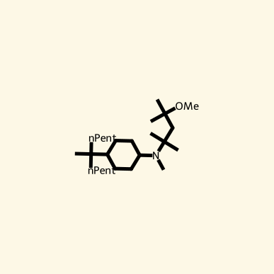 CCCCCC(C)(CCCCC)C1CCC(N(C)C(C)(C)CC(C)(C)OC)CC1